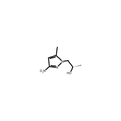 Cc1cc([N+](=O)[O-])nn1C[C@H](C)O